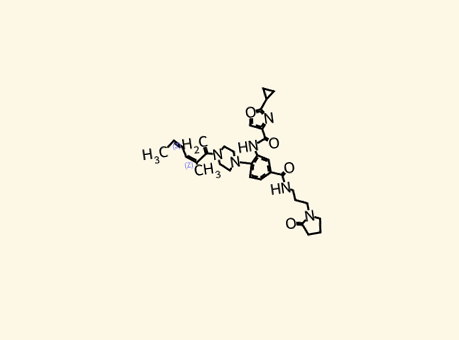 C=C(/C(C)=C\C=C/C)N1CCN(c2ccc(C(=O)NCCCN3CCCC3=O)cc2NC(=O)c2coc(C3CC3)n2)CC1